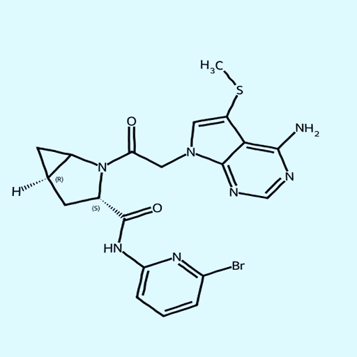 CSc1cn(CC(=O)N2C3C[C@@H]3C[C@H]2C(=O)Nc2cccc(Br)n2)c2ncnc(N)c12